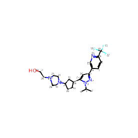 CC(C)n1nc(-c2ccc(C(F)(F)F)nc2)cc1[C@H]1CCC(N2CCN(CCO)CC2)C1